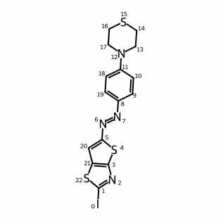 Ic1nc2sc(N=Nc3ccc(N4CCSCC4)cc3)cc2s1